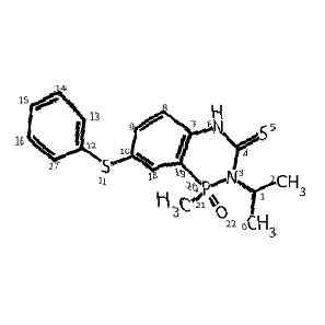 CC(C)N1C(=S)Nc2ccc(Sc3ccccc3)cc2P1(C)=O